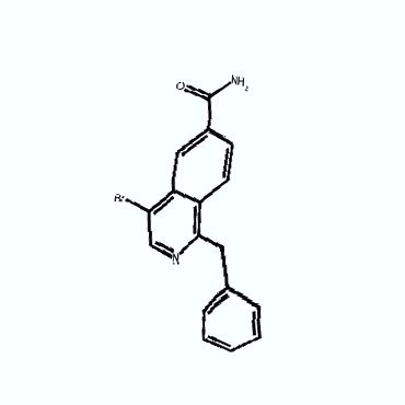 NC(=O)c1ccc2c(Cc3ccccc3)ncc(Br)c2c1